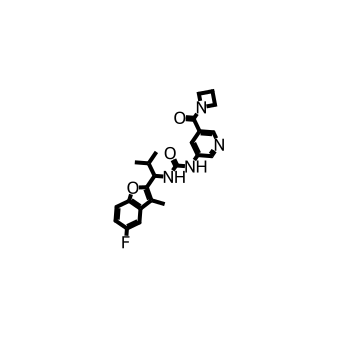 Cc1c(C(NC(=O)Nc2cncc(C(=O)N3CCC3)c2)C(C)C)oc2ccc(F)cc12